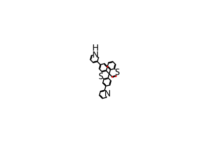 C1=CNCC(c2ccc3c(c2)Sc2cc(-c4ccccn4)ccc2C32c3ccccc3Sc3ccccc32)=C1